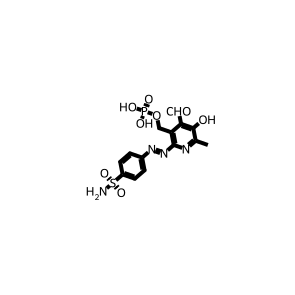 Cc1nc(N=Nc2ccc(S(N)(=O)=O)cc2)c(COP(=O)(O)O)c(C=O)c1O